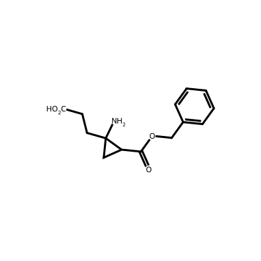 NC1(CCC(=O)O)CC1C(=O)OCc1ccccc1